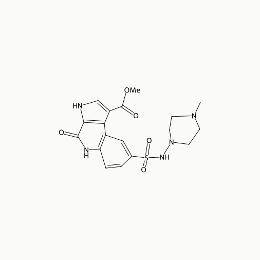 COC(=O)c1c[nH]c2c(=O)[nH]c3ccc(S(=O)(=O)NN4CCN(C)CC4)cc3c12